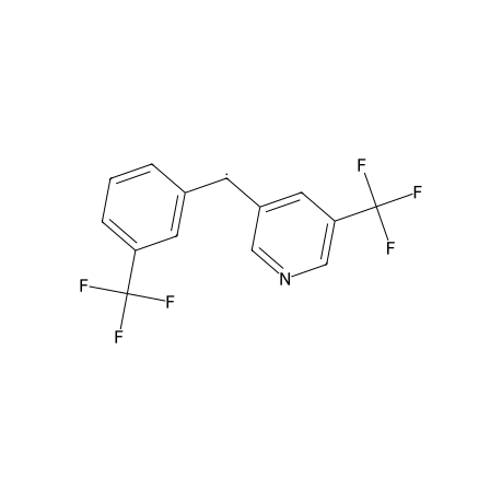 FC(F)(F)c1cccc([CH]c2cncc(C(F)(F)F)c2)c1